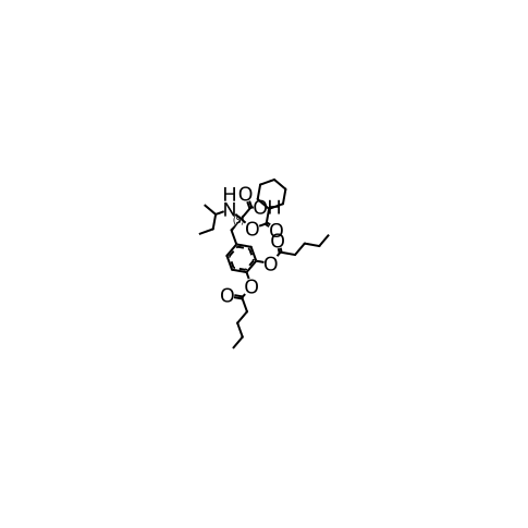 CCCCC(=O)Oc1ccc(C[C@](NC(C)CC)(OC(=O)C2CCCCC2)C(=O)O)cc1OC(=O)CCCC